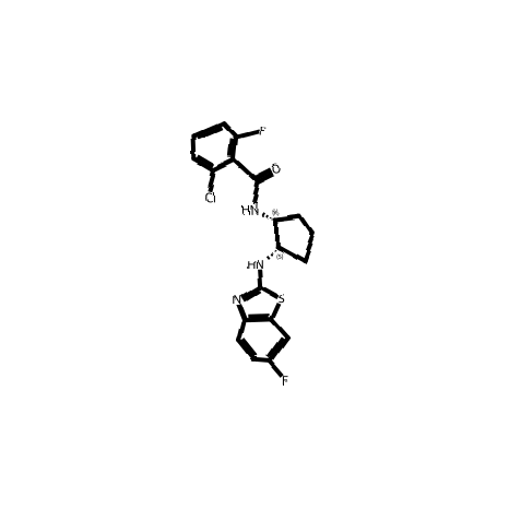 O=C(N[C@@H]1CCC[C@@H]1Nc1nc2ccc(F)cc2s1)c1c(F)cccc1Cl